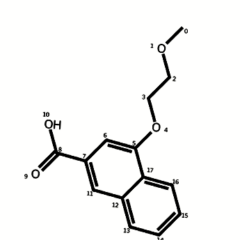 COCCOc1cc(C(=O)O)cc2ccccc12